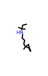 C=C1CC1(C)CCCCNC(C)(C)CC